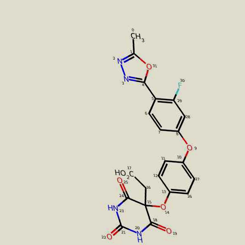 Cc1nnc(-c2ccc(Oc3ccc(OC4(CC(=O)O)C(=O)NC(=O)NC4=O)cc3)cc2F)o1